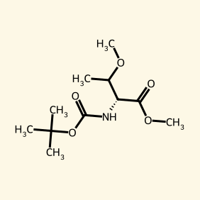 COC(=O)[C@H](NC(=O)OC(C)(C)C)C(C)OC